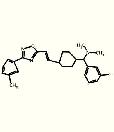 Cc1cccc(-c2noc(C=CC3CCC(C(c4cccc(F)c4)N(C)C)CC3)n2)c1